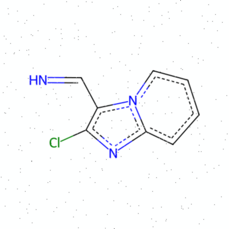 N=Cc1c(Cl)nc2ccccn12